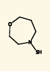 SN1CCCOCC1